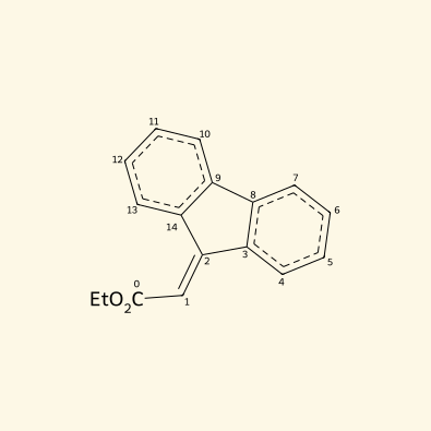 CCOC(=O)C=C1c2ccccc2-c2ccccc21